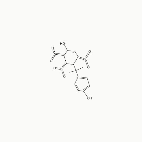 CC(C)(c1ccc(O)cc1)C1C(=S(=O)=O)C=C(O)C(=S(=O)=O)C1=S(=O)=O